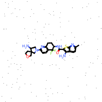 Cc1ccc2c(N)c(C(=O)NC3CCc4nc(N5CC(N)C6(CCOC6)C5)ccc4C3(F)F)sc2n1